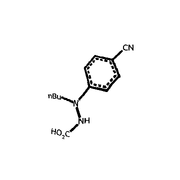 CCCCN(NC(=O)O)c1ccc(C#N)cc1